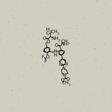 CNC(=O)c1ccc(-c2cnc(N3CCN(C(=O)OC)CC3)nc2)cc1NCc1cc(COC(=O)C(N)C(C)C)ccc1OC(F)F